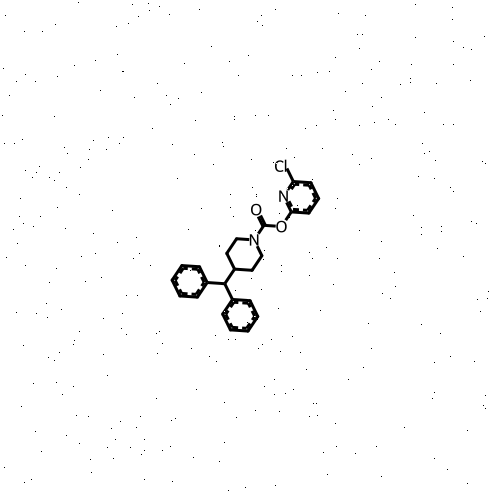 O=C(Oc1cccc(Cl)n1)N1CCC(C(c2ccccc2)c2ccccc2)CC1